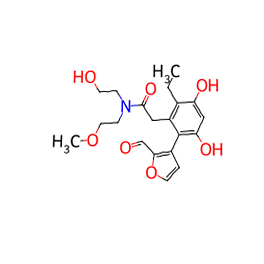 CCc1c(O)cc(O)c(-c2ccoc2C=O)c1CC(=O)N(CCO)CCOC